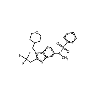 CN(c1ccc2c(c1)nc(CC(F)(F)F)n2CC1CCOCC1)S(=O)(=O)c1ccccc1